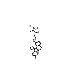 CCCNC(=O)NCCOc1ccc2c(c1)C(C1(c3ccc(C)cc3)CCC1)NCC2